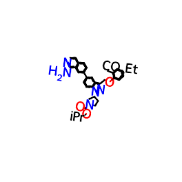 CCOC(=O)Cc1ccccc1OCc1nn(C2CCN(C(=O)OC(C)C)C2)c2ccc(-c3ccc4ccnc(N)c4c3)cc12